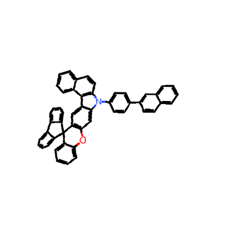 c1ccc2c(c1)Oc1cc3c(cc1C21c2ccccc2-c2ccccc21)c1c2ccccc2ccc1n3-c1ccc(-c2ccc3ccccc3c2)cc1